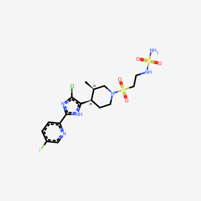 C[C@H]1CN(S(=O)(=O)CCNS(N)(=O)=O)CC[C@H]1c1[nH]c(-c2ccc(F)cn2)nc1Cl